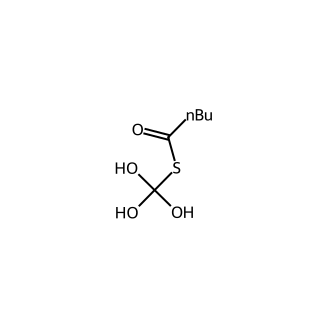 CCCCC(=O)SC(O)(O)O